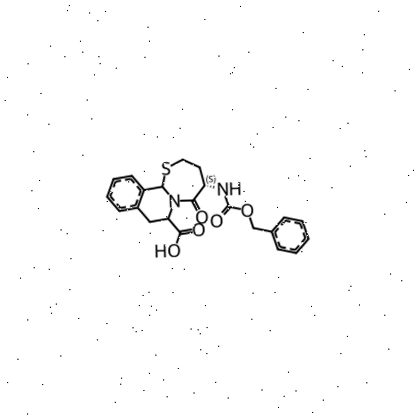 O=C(N[C@H]1CCSC2c3ccccc3CC(C(=O)O)N2C1=O)OCc1ccccc1